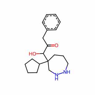 O=C(Cc1ccccc1)C(O)C1(C2CCCC2)CCCNNC1